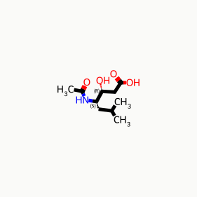 CC(=O)N[C@@H](CC(C)C)[C@H](O)CC(=O)O